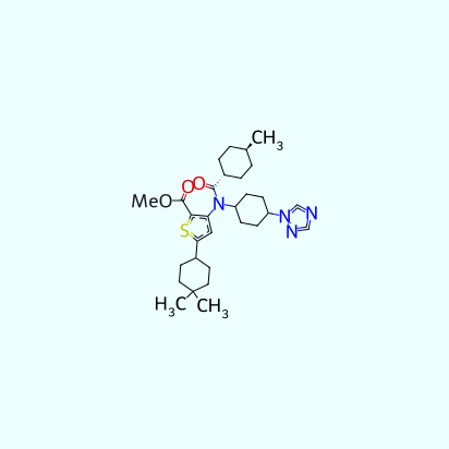 COC(=O)c1sc(C2CCC(C)(C)CC2)cc1N(C(=O)[C@H]1CC[C@H](C)CC1)C1CCC(n2cncn2)CC1